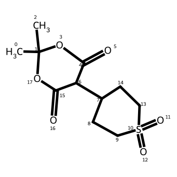 CC1(C)OC(=O)C(C2CCS(=O)(=O)CC2)C(=O)O1